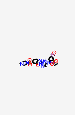 COc1cc(S(=O)(=O)N2CCN(C)CC2)ccc1Nc1nnc(C)c(Nc2ccc(P(C)(C)=O)cc2S(=O)(=O)C(C)C)n1